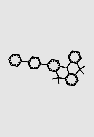 CC1(C)c2ccccc2N2c3ccc(-c4ccc(-c5ccccc5)cc4)cc3C(C)(C)c3cccc1c32